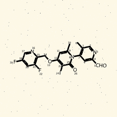 Cc1cnc(C=O)cc1-n1c(C)cc(OCc2ncc(F)cc2F)c(I)c1=O